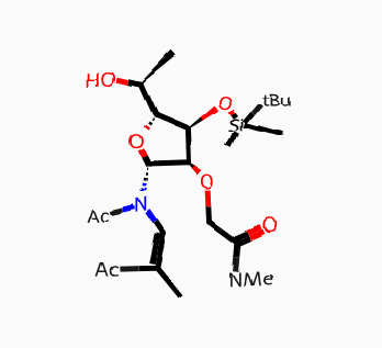 CNC(=O)CO[C@@H]1[C@H](O[Si](C)(C)C(C)(C)C)[C@@H]([C@H](C)O)O[C@H]1N(/C=C(/C)C(C)=O)C(C)=O